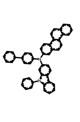 c1ccc(-c2ccc(N(c3ccc4c(ccc5c6ccccc6ccc45)c3)c3ccc4c5ccccc5n(-c5ccccc5)c4c3)cc2)cc1